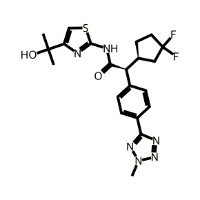 Cn1nnc(-c2ccc([C@@H](C(=O)Nc3nc(C(C)(C)O)cs3)[C@H]3CCC(F)(F)C3)cc2)n1